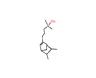 CC1C2C=C(CCC[Si](C)(C)O)C(C2)C1C